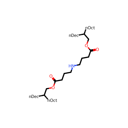 CCCCCCCCCCC(CCCCCCCC)COC(=O)CCCNCCCC(=O)OCC(CCCCCCCC)CCCCCCCCCC